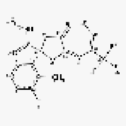 Cc1c(F)cccc1[C@]1(C(=O)NO)CC2=CCC=C(C(F)(F)F)N=C2C1